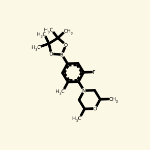 Cc1cc(B2OC(C)(C)C(C)(C)O2)cc(F)c1N1CC(C)OC(C)C1